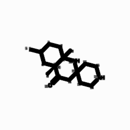 CC12CCC(I)C[C@@]1(C)C(=O)CC1(CCNCC1)N2